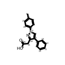 Cc1ccc(-n2cc(-c3ccccc3)c(CC(=O)O)n2)cc1